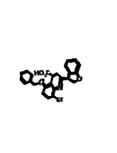 CCc1ccc(OCc2ccccc2)c2c(C(=O)O)cc(-c3coc4ccccc34)nc12